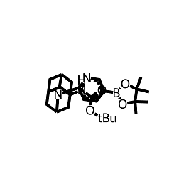 CC(C)(C)OC(=O)NC12CC3CC(C1)N(c1ccc(B4OC(C)(C)C(C)(C)O4)cn1)C(C3)C2